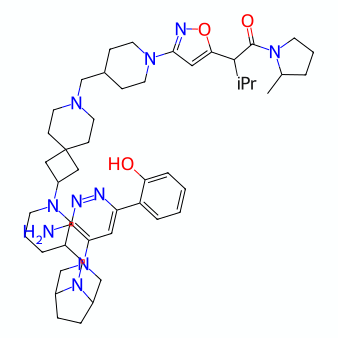 CC(C)C(C(=O)N1CCCC1C)c1cc(N2CCC(CN3CCC4(CC3)CC(N3CCCC(CN5C6CCC5CN(c5cc(-c7ccccc7O)nnc5N)C6)C3)C4)CC2)no1